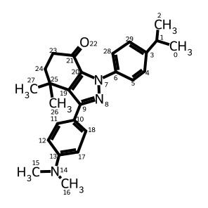 CC(C)c1ccc(-n2nc(-c3ccc(N(C)C)cc3)c3c2C(=O)CCC3(C)C)cc1